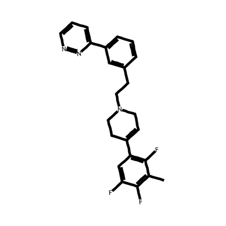 Cc1c(F)c(F)cc(C2=CCN(CCc3cccc(-c4cccnn4)c3)CC2)c1F